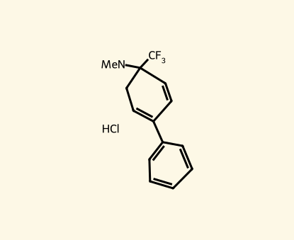 CNC1(C(F)(F)F)C=CC(c2ccccc2)=CC1.Cl